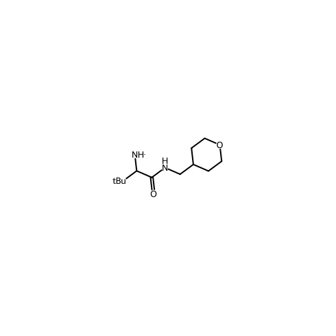 CC(C)(C)C([NH])C(=O)NCC1CCOCC1